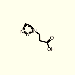 O=C(O)CCn1ccnn1